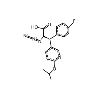 CC(C)Oc1ncc([C@H](c2ccc(F)cc2)C(N=[N+]=[N-])C(=O)O)cn1